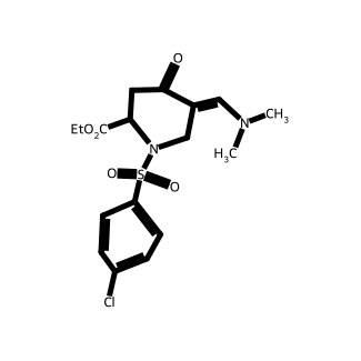 CCOC(=O)C1CC(=O)C(=CN(C)C)CN1S(=O)(=O)c1ccc(Cl)cc1